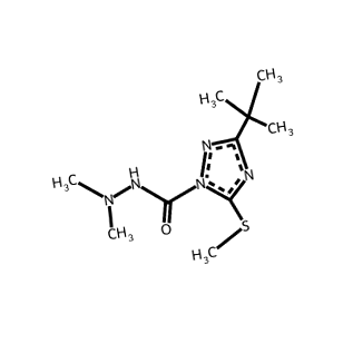 CSc1nc(C(C)(C)C)nn1C(=O)NN(C)C